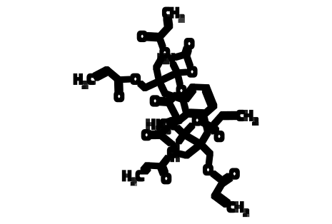 C=CC(=O)OCC(COC(=O)C=C)(Cc1cccc(CC(COC(=O)C=C)(COC(=O)C=C)C2(OC(=O)C=C)NC(=O)O2)c1C)C1(OC(=O)C=C)NC(=O)O1